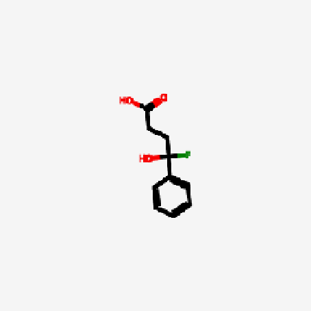 O=C(O)CCC(O)(F)c1ccccc1